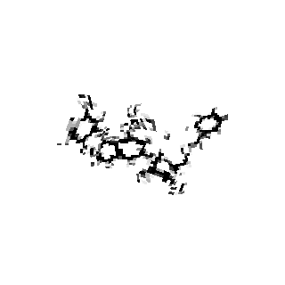 CCn1c(COCc2ccccc2)nn(-c2cc(O[C@@H](C)C(F)(F)F)c3c(Oc4cc(C)ncc4Cl)nccc3c2)c1=O